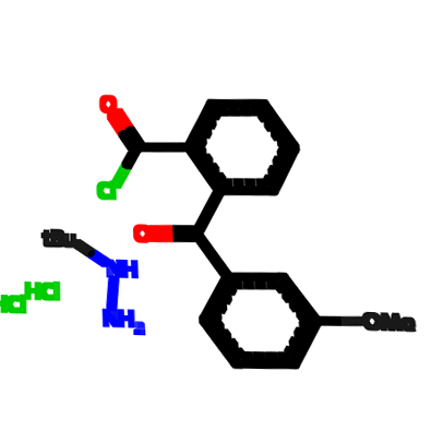 CC(C)(C)NN.COc1cccc(C(=O)c2ccccc2C(=O)Cl)c1.Cl.Cl